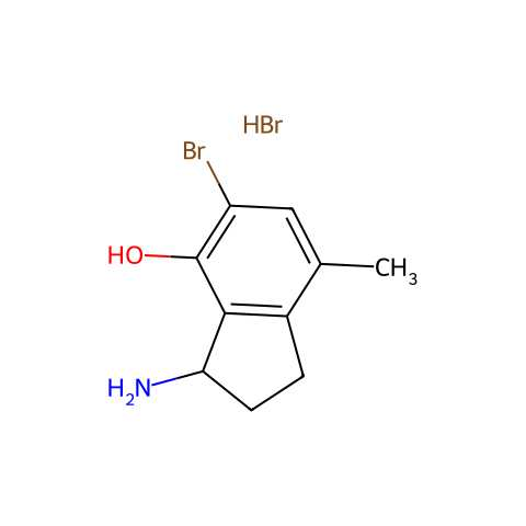 Br.Cc1cc(Br)c(O)c2c1CCC2N